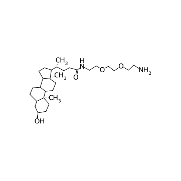 C[C@H](CCC(=O)NCCOCCOCCN)C1CCC2C3CCC4C[C@H](O)CC[C@]4(C)C3CC[C@@]21C